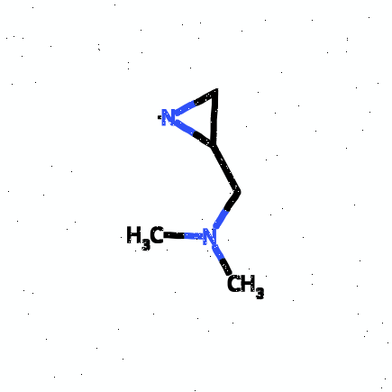 CN(C)CC1C[N]1